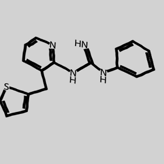 N=C(Nc1ccccc1)Nc1ncccc1Cc1cccs1